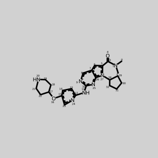 CN(C)C(=O)c1cc2cnc(Nc3ccc(OC4CCNCC4)cn3)nc2n1C1CCCC1